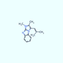 CC(C)=Cc1c(C)n(C)c2nc3ccccc3n12